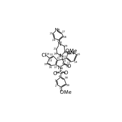 COc1ccc(S(=O)(=O)N2C(=O)C(c3cccnc3OC)(N3CCN(c4ccncc4)CC3)c3cc(Cl)ccc32)cc1